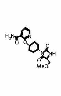 COC[C@@H]1NC(=O)N([C@H]2CC[C@H](Oc3ncccc3C(N)=O)CC2)C1=O